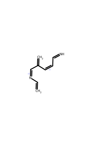 C=C/N=C\C(=C)/C=C\C=N